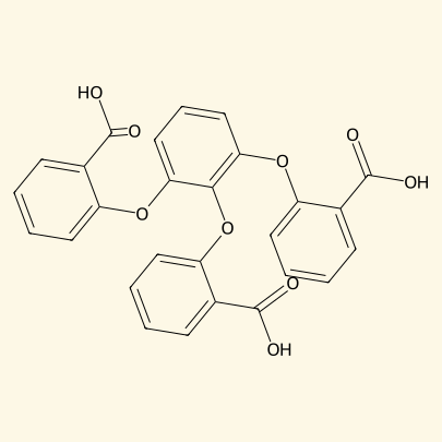 O=C(O)c1ccccc1Oc1cccc(Oc2ccccc2C(=O)O)c1Oc1ccccc1C(=O)O